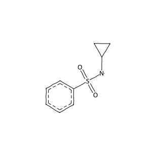 O=S(=O)([N]C1CC1)c1ccccc1